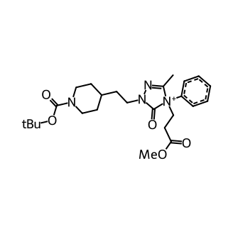 COC(=O)CC[N+]1(c2ccccc2)C(=O)N(CCC2CCN(C(=O)OC(C)(C)C)CC2)N=C1C